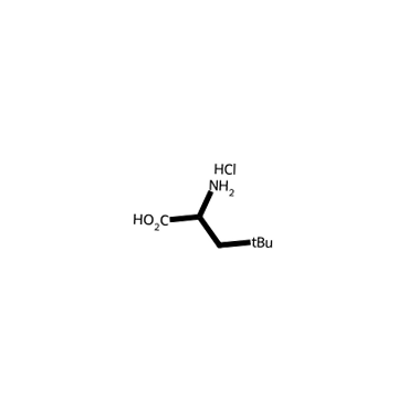 CC(C)(C)CC(N)C(=O)O.Cl